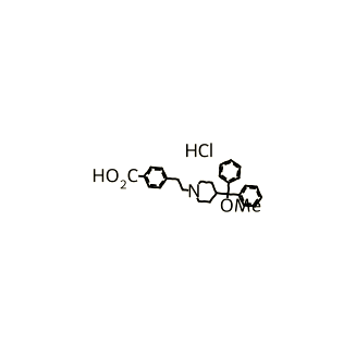 COC(c1ccccc1)(c1ccccc1)C1CCN(CCc2ccc(C(=O)O)cc2)CC1.Cl